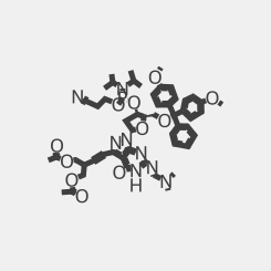 COc1ccc(C(OC[C@H]2O[C@@H](n3nc(C#CC(COC(C)=O)COC(C)=O)c4c(=O)[nH]c(/N=C/N(C)C)nc43)C[C@H]2OP(OCCC#N)N(C(C)C)C(C)C)(c2ccccc2)c2ccc(OC)cc2)cc1